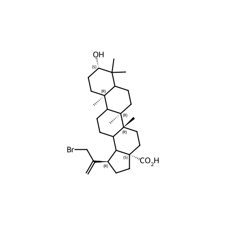 C=C(CBr)[C@@H]1CC[C@]2(C(=O)O)CC[C@]3(C)C(CCC4[C@@]5(C)CC[C@H](O)C(C)(C)C5CC[C@]43C)C12